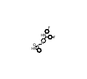 O=c1[nH]c2ccccc2n1CCN1CCC(C(Nc2ccc(F)cc2)c2ccc(F)cc2)CC1